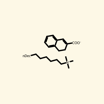 CCCCCCCCCCCCCCCC[N+](C)(C)C.O=C([O-])C1=Cc2ccccc2CC1